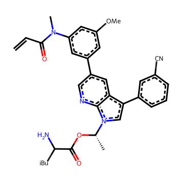 C=CC(=O)N(C)c1cc(OC)cc(-c2cnc3c(c2)c(-c2cccc(C#N)c2)cn3[C@H](C)OC(=O)C(N)C(C)CC)c1